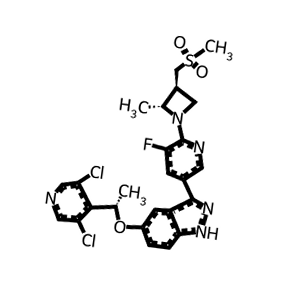 C[C@H](Oc1ccc2[nH]nc(-c3cnc(N4C[C@H](CS(C)(=O)=O)[C@H]4C)c(F)c3)c2c1)c1c(Cl)cncc1Cl